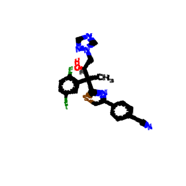 CC(c1nc(-c2ccc(C#N)cc2)cs1)(c1cc(F)ccc1F)[C@@H](O)Cn1cncn1